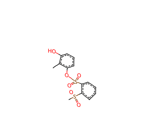 Cc1c(O)cccc1OS(=O)(=O)c1ccccc1S(C)(=O)=O